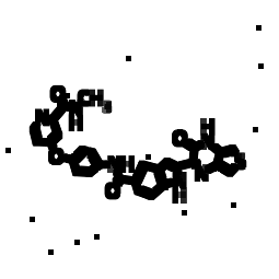 CNC(=O)c1cc(Oc2ccc(NC(=O)c3ccc4[nH]c(-c5nc6cscc6[nH]c5=O)cc4c3)cc2)ccn1